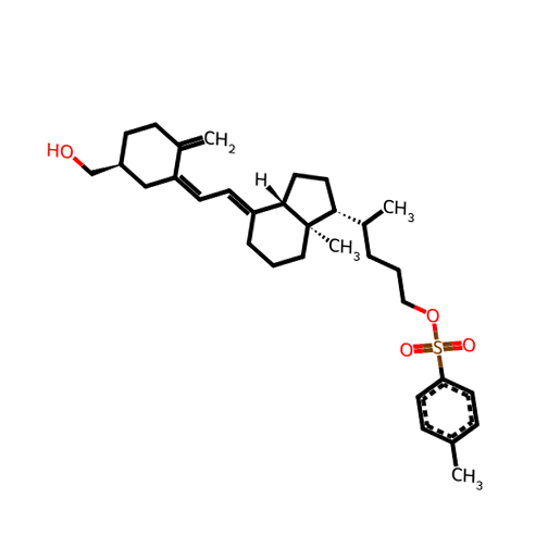 C=C1CC[C@H](CO)C/C1=C/C=C1\CCC[C@]2(C)[C@@H](C(C)CCCOS(=O)(=O)c3ccc(C)cc3)CC[C@@H]12